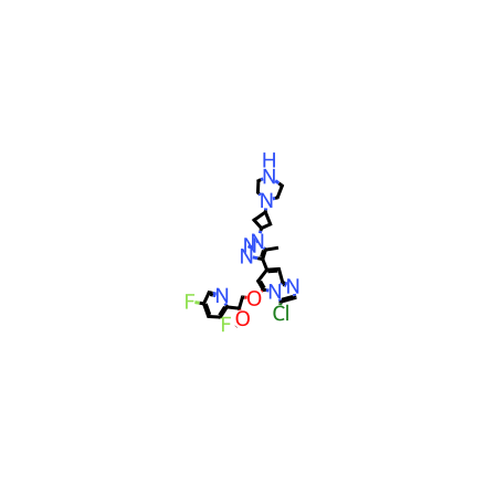 COC(COc1cc(-c2nnn(C3CC(N4CCNCC4)C3)c2C)cc2ncc(Cl)n12)c1ncc(F)cc1F